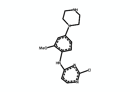 COc1cc(N2CCNCC2)ccc1Nc1ccnc(Cl)n1